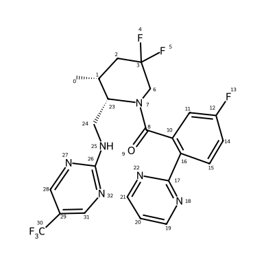 C[C@@H]1CC(F)(F)CN(C(=O)c2cc(F)ccc2-c2ncccn2)[C@@H]1CNc1ncc(C(F)(F)F)cn1